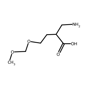 COCOCCC(CN)C(=O)O